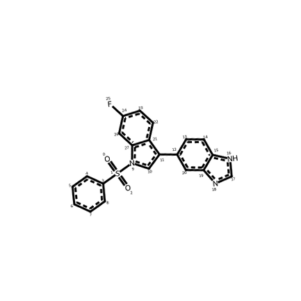 O=S(=O)(c1ccccc1)n1cc(-c2ccc3[nH]cnc3c2)c2ccc(F)cc21